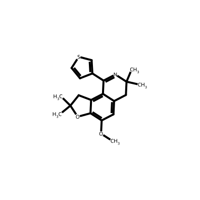 COc1cc2c(c3c1OC(C)(C)C3)C(c1ccsc1)=NC(C)(C)C2